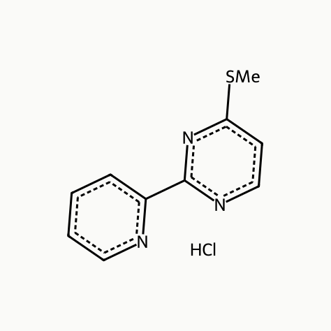 CSc1ccnc(-c2ccccn2)n1.Cl